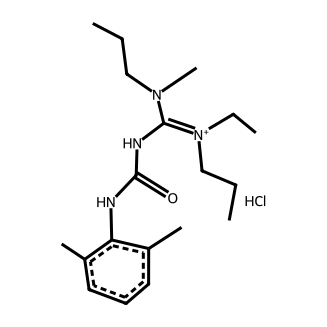 CCCN(C)C(NC(=O)Nc1c(C)cccc1C)=[N+](CC)CCC.Cl